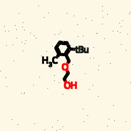 Cc1cccc(C(C)(C)C)c1COCCO